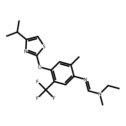 CCN(C)C=Nc1cc(C(F)(F)F)c(Oc2nc(C(C)C)cs2)cc1C